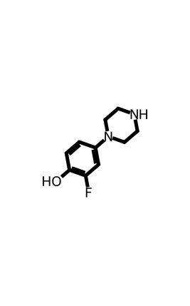 Oc1ccc(N2CCNCC2)cc1F